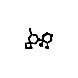 [2H]C1C=NC=CC1([2H])N1CC(F)CC2(CCO2)C1